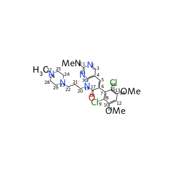 CNc1ncc2cc(-c3c(Cl)c(OC)cc(OC)c3Cl)c(=O)n(CCCN3CCN(C)CC3)c2n1